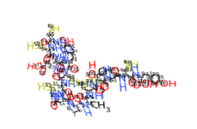 C[C@H](NC(=O)[C@@H]1CCCN1C(=O)[C@H](CC(N)=O)NC(=O)[C@H](CSS)NC(=O)[C@H](CSS)NC(=O)[C@H](Cc1ccc(O)cc1)NC(=O)[C@H](CCC(=O)O)NC(=O)[C@H](CSS)NC(=O)[C@@H](N)CSS)C(=O)N[C@@H](CSS)C(=O)N[C@H](C(=O)NCC(=O)N[C@@H](CSS)C(=O)N[C@@H](Cc1ccc(O)cc1)C(=O)O)[C@@H](C)O